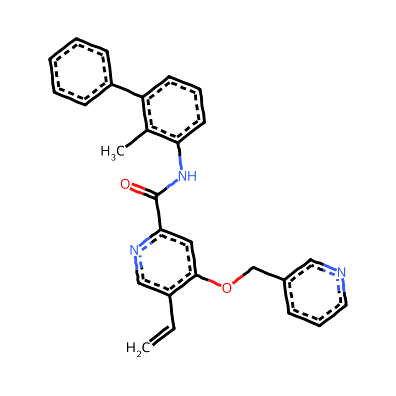 C=Cc1cnc(C(=O)Nc2cccc(-c3ccccc3)c2C)cc1OCc1cccnc1